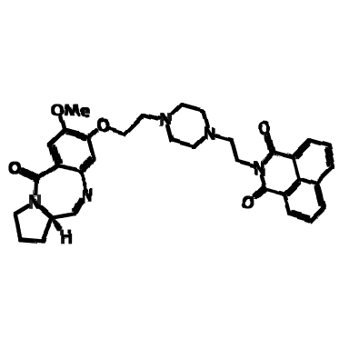 COc1cc2c(cc1OCCN1CCN(CCN3C(=O)c4cccc5cccc(c45)C3=O)CC1)N=C[C@@H]1CCCN1C2=O